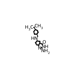 CC(C)c1ccc(CNc2ccc3nc(N)[nH]c(=O)c3c2)cc1